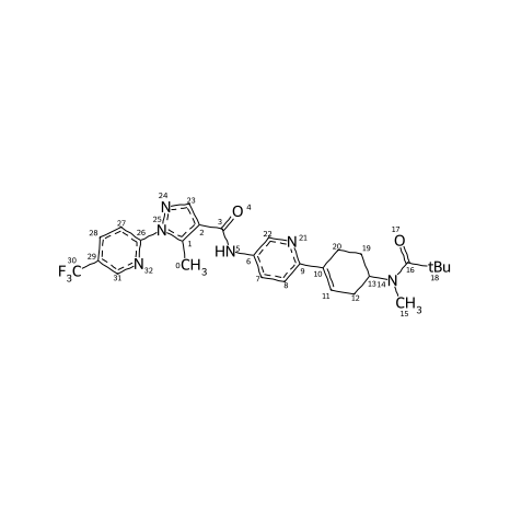 Cc1c(C(=O)Nc2ccc(C3=CCC(N(C)C(=O)C(C)(C)C)CC3)nc2)cnn1-c1ccc(C(F)(F)F)cn1